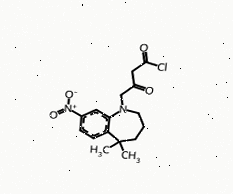 CC1(C)CCCN(CC(=O)CC(=O)Cl)c2cc([N+](=O)[O-])ccc21